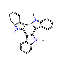 Cn1c2c(c3c1c1c4ccccc4n(C)c1c1c4ccccc4n(C)c31)C=CCC2